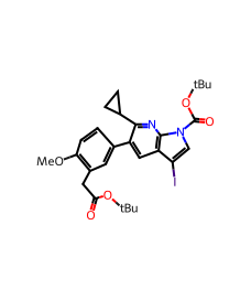 COc1ccc(-c2cc3c(I)cn(C(=O)OC(C)(C)C)c3nc2C2CC2)cc1CC(=O)OC(C)(C)C